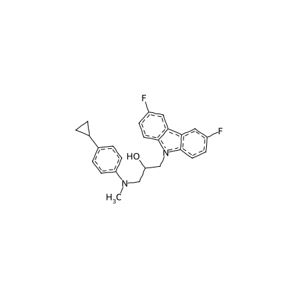 CN(CC(O)Cn1c2ccc(F)cc2c2cc(F)ccc21)c1ccc(C2CC2)cc1